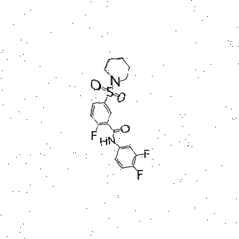 O=C(Nc1ccc(F)c(F)c1)c1cc(S(=O)(=O)N2CCCCC2)ccc1F